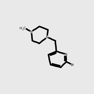 CN1CCN(Cc2cccc(Br)n2)CC1